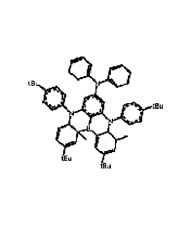 CC1C=C(C(C)(C)C)C=C2B3c4c(cc(N(C5=CCCC=C5)C5=CC=CCC5)cc4N(c4ccc(C(C)(C)C)cc4)C4C=CC(C(C)(C)C)=CC34C)N(c3ccc(C(C)(C)C)cc3)C21